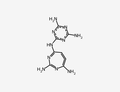 NC1=C=CC(Nc2nc(N)nc(N)n2)=NC(N)=N1